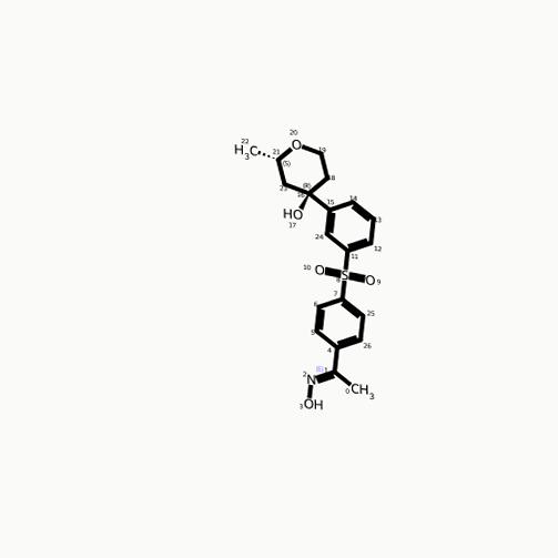 C/C(=N\O)c1ccc(S(=O)(=O)c2cccc([C@@]3(O)CCO[C@@H](C)C3)c2)cc1